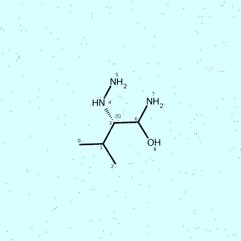 CC(C)[C@H](NN)C(N)O